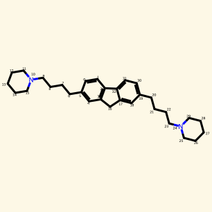 c1cc2c(cc1CCCCN1CCCCC1)Cc1cc(CCCCN3CCCCC3)ccc1-2